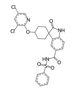 O=C(NS(=O)(=O)c1ccccc1)c1ccc2c(c1)C1(CCC(Oc3ncc(Cl)cc3Cl)CC1)C(=O)N2